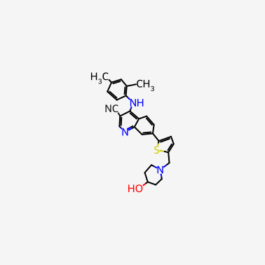 Cc1ccc(Nc2c(C#N)cnc3cc(-c4ccc(CN5CCC(O)CC5)s4)ccc23)c(C)c1